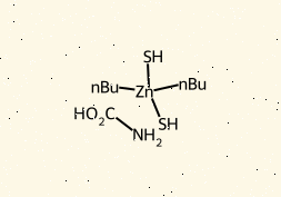 CCC[CH2][Zn]([SH])([SH])[CH2]CCC.NC(=O)O